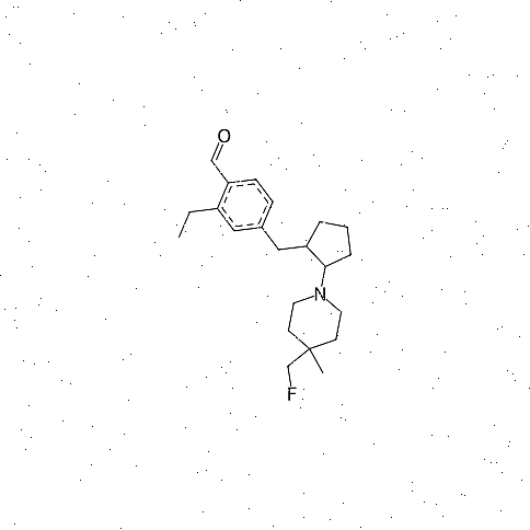 CCc1cc(CC2CCCC2N2CCC(C)(CF)CC2)ccc1C=O